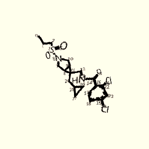 CCCS(=O)(=O)N1CC2C(C1)C2(CNC(=O)c1ccc(Cl)cc1Cl)CC1CC1